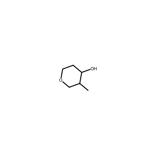 C[C]1COCCC1O